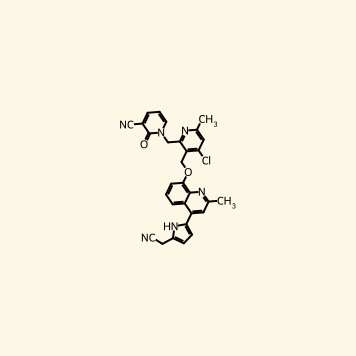 Cc1cc(Cl)c(COc2cccc3c(-c4ccc(CC#N)[nH]4)cc(C)nc23)c(Cn2cccc(C#N)c2=O)n1